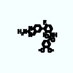 COc1ccc(S(=O)(=O)Nc2ccc(F)c(-c3ccc4nc(N)ncc4c3)c2F)cc1OC